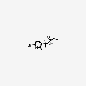 Cc1nc(Br)ccc1C(C)(C)NC(=O)O